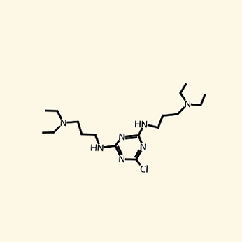 CCN(CC)CCCNc1nc(Cl)nc(NCCCN(CC)CC)n1